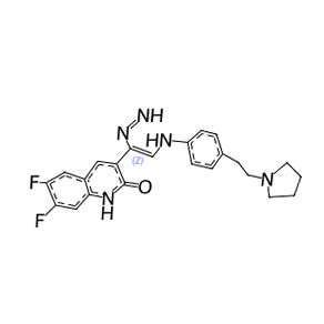 N=N/C(=C\Nc1ccc(CCN2CCCC2)cc1)c1cc2cc(F)c(F)cc2[nH]c1=O